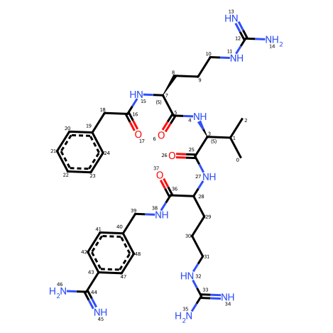 CC(C)[C@H](NC(=O)[C@H](CCCNC(=N)N)NC(=O)Cc1ccccc1)C(=O)NC(CCCNC(=N)N)C(=O)NCc1ccc(C(=N)N)cc1